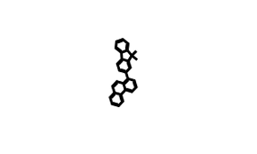 CC1(C)c2ccccc2-c2ccc(-c3cccc4c3ccc3ccccc34)cc21